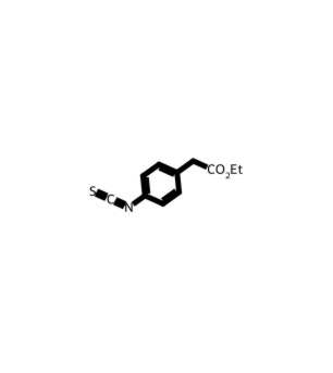 CCOC(=O)Cc1ccc(N=C=S)cc1